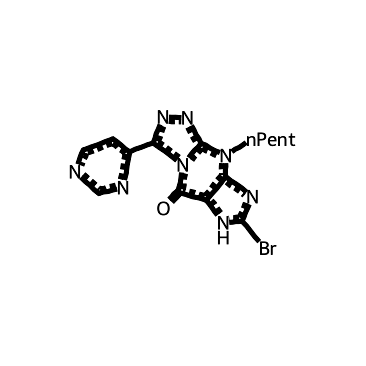 CCCCCn1c2nc(Br)[nH]c2c(=O)n2c(-c3ccncn3)nnc12